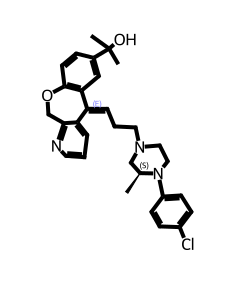 C[C@H]1CN(CC/C=C2/c3cc(C(C)(C)O)ccc3OCc3ncccc32)CCN1c1ccc(Cl)cc1